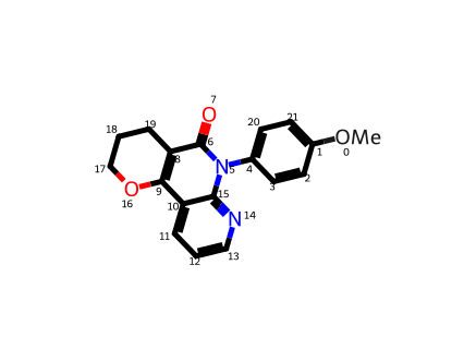 COc1ccc(-n2c(=O)c3c(c4cccnc42)OCCC3)cc1